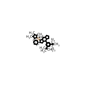 CC1CC2C(CC3CCCC3C2c2cc(C(C)(C)C)cc(C(C)(C)C)c2)C1S(C)(C1CCCCC1)C1C(C)C(C)C(C)C1C